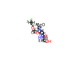 [2H]C([2H])(F)CCOCC1(COc2nc(C(=O)NC(CC)(CC)CO)ccc2N2CC(OC)C2)COC1